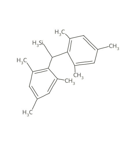 Cc1cc(C)c(C([SiH3])c2c(C)cc(C)cc2C)c(C)c1